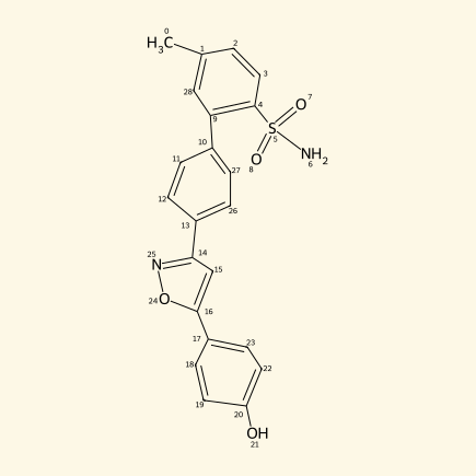 Cc1ccc(S(N)(=O)=O)c(-c2ccc(-c3cc(-c4ccc(O)cc4)on3)cc2)c1